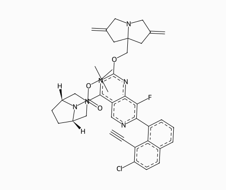 C#Cc1c(Cl)ccc2cccc(-c3ncc4c(N5C[C@H]6CC[C@@H](C5)N6C(=O)OC(C)(C)C)nc(OCC56CC(=C)CN5CC(=C)C6)nc4c3F)c12